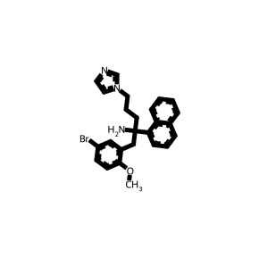 COc1ccc(Br)cc1CC(N)(CCCn1ccnc1)c1cccc2ccccc12